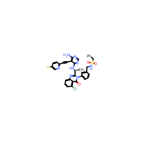 CC(C)CS(=O)(=O)NCc1cccc(-n2c([C@H](C)Nc3ncnc(N)c3C#Cc3ccc(F)cn3)nc3cccc(Cl)c3c2=O)c1